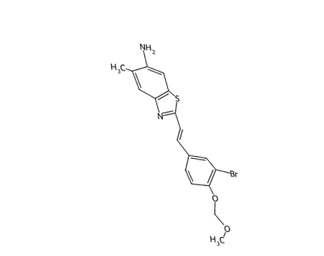 COCOc1ccc(C=Cc2nc3cc(C)c(N)cc3s2)cc1Br